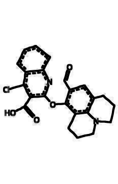 O=Cc1cc2c3c(c1Oc1nc4ccccc4c(Cl)c1C(=O)O)CCCN3CCC2